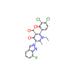 CCn1c(C)c(-n2cc3cccc(F)c3n2)c(=O)c(C(=O)O)c1-c1ccc(Cl)c(Cl)c1